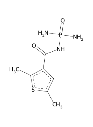 Cc1cc(C(=O)NP(N)(N)=O)c(C)s1